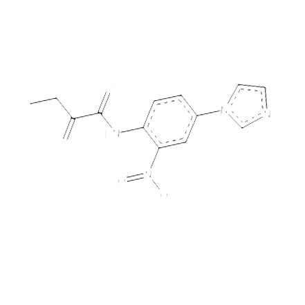 CCC(=O)C(=O)Nc1ccc(-n2ccnc2)cc1[N+](=O)[O-]